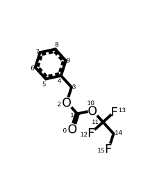 O=C(OCc1ccccc1)OC(F)(F)CF